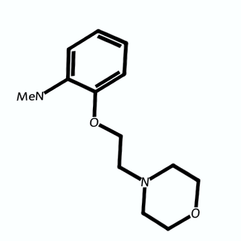 CNc1ccccc1OCCN1CCOCC1